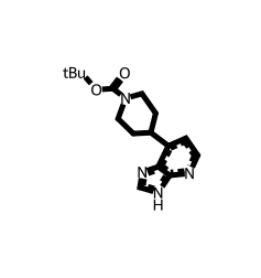 CC(C)(C)OC(=O)N1CCC(c2ccnc3[nH]cnc23)CC1